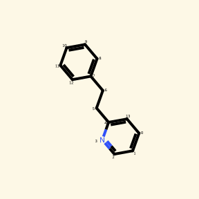 [c]1ccnc(CCc2ccccc2)c1